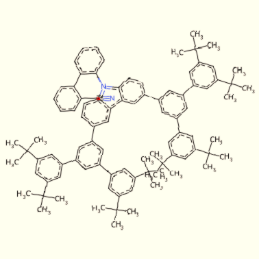 CC(C)(C)c1cc(-c2cc(-c3cc(C(C)(C)C)cc(C(C)(C)C)c3)cc(-c3ccc4c(c3)c3cc(-c5cc(-c6cc(C(C)(C)C)cc(C(C)(C)C)c6)cc(-c6cc(C(C)(C)C)cc(C(C)(C)C)c6)c5)ccc3n4-c3ccccc3-c3ccccc3C#N)c2)cc(C(C)(C)C)c1